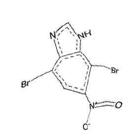 O=[N+]([O-])c1cc(Br)c2nc[nH]c2c1Br